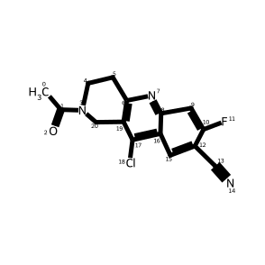 CC(=O)N1CCc2nc3cc(F)c(C#N)cc3c(Cl)c2C1